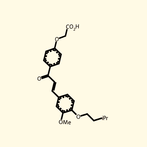 COc1cc(/C=C/C(=O)c2ccc(OCC(=O)O)cc2)ccc1OCCC(C)C